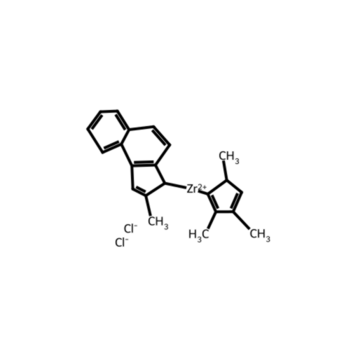 CC1=CC(C)[C]([Zr+2][CH]2C(C)=Cc3c2ccc2ccccc32)=C1C.[Cl-].[Cl-]